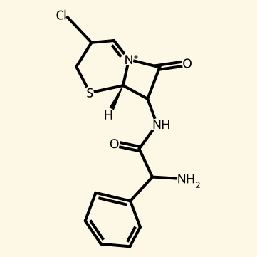 NC(C(=O)NC1C(=O)[N+]2=CC(Cl)CS[C@@H]12)c1ccccc1